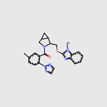 Cc1ccc(-n2nccn2)c(C(=O)N2CC3CC3C2CSc2nc3ccccc3n2C(C)C)c1